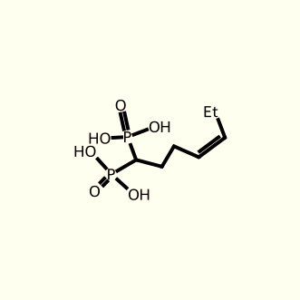 CC/C=C\CCC(P(=O)(O)O)P(=O)(O)O